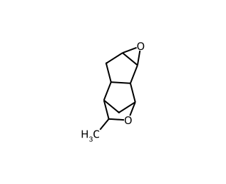 CC1OC2CC1C1CC3OC3C21